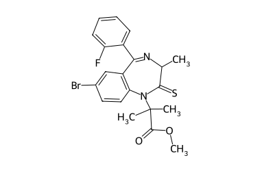 COC(=O)C(C)(C)N1C(=S)C(C)N=C(c2ccccc2F)c2cc(Br)ccc21